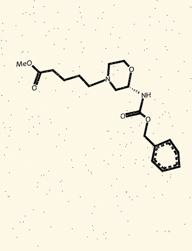 COC(=O)CCCCN1CCO[C@H](NC(=O)OCc2ccccc2)C1